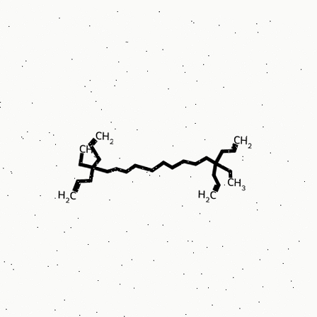 C=CCC(CC)(CC=C)CCCCCCCCCCC(CC)(CC=C)CC=C